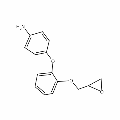 Nc1ccc(Oc2ccccc2OCC2CO2)cc1